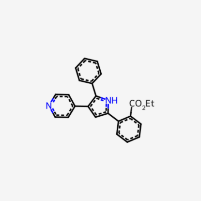 CCOC(=O)c1ccccc1-c1cc(-c2ccncc2)c(-c2ccccc2)[nH]1